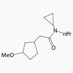 CCCN(C(=O)CC1CCC(OC)C1)C1CC1